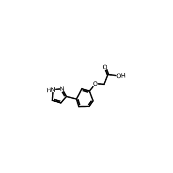 O=C(O)COc1cccc(-c2cc[nH]n2)c1